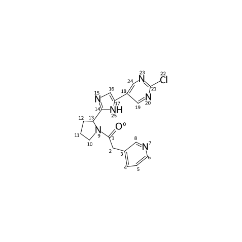 O=C(Cc1cccnc1)N1CCCC1c1ncc(-c2cnc(Cl)nc2)[nH]1